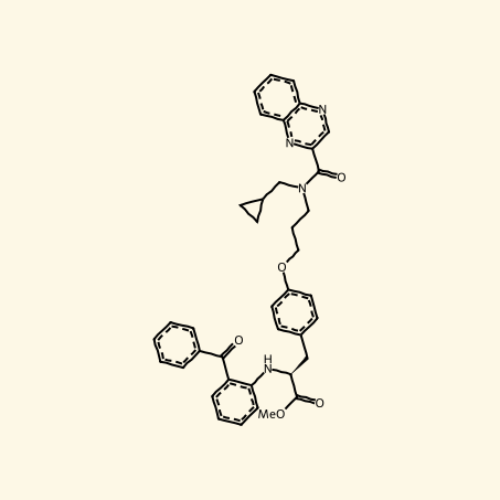 COC(=O)[C@H](Cc1ccc(OCCCN(CC2CC2)C(=O)c2cnc3ccccc3n2)cc1)Nc1ccccc1C(=O)c1ccccc1